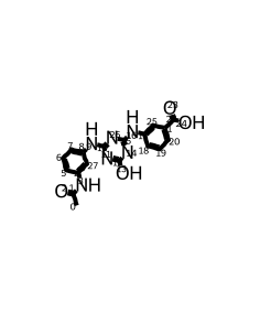 CC(=O)Nc1cccc(Nc2nc(O)nc(Nc3cccc(C(=O)O)c3)n2)c1